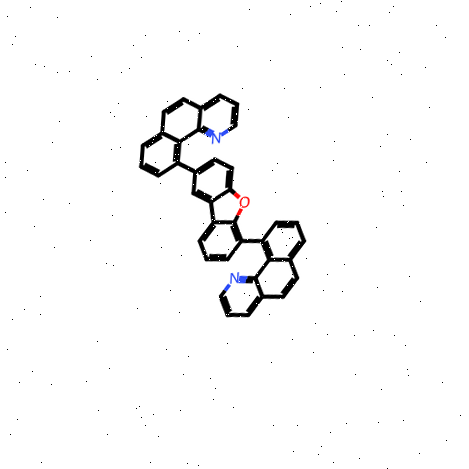 c1cnc2c(c1)ccc1cccc(-c3ccc4oc5c(-c6cccc7ccc8cccnc8c67)cccc5c4c3)c12